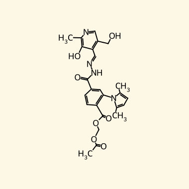 CC(=O)OCOC(=O)c1ccc(C(=O)N/N=C/c2c(CO)cnc(C)c2O)cc1-n1c(C)ccc1C